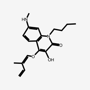 C=CC(C)=COc1c(O)c(=O)n(CCCC)c2cc(NC)ccc12